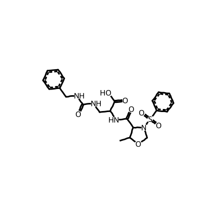 CC1OCN(S(=O)(=O)c2ccccc2)C1C(=O)NC(CNC(=O)NCc1ccccc1)C(=O)O